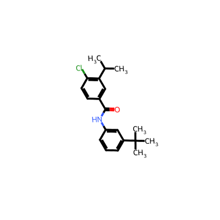 CC(C)c1cc(C(=O)Nc2cccc(C(C)(C)C)c2)ccc1Cl